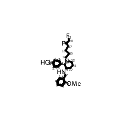 COc1ccccc1CN[C@H]1CCCN(CCCCC(F)CF)[C@H]1c1ccccc1.Cl